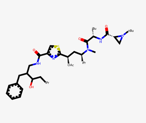 CCCCN1C[C@@H]1C(=O)N[C@H](C(=O)N(C)[C@H](C[C@@H](OC(C)=O)c1nc(C(=O)NCC(Cc2ccccc2)C(O)CC(C)C)cs1)C(C)C)C(C)CC